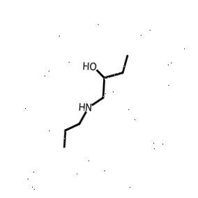 CCCNCC(O)CC